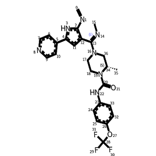 C=Nc1[nH]c(-c2ccncc2)cc1/C(=N\C)N1CCN(C(=O)Nc2ccc(OC(F)(F)F)cc2)[C@@H](C)C1